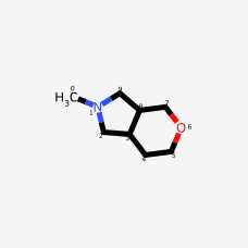 CN1CC2CCOCC2C1